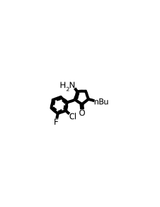 CCCCC1CC(N)=C(c2cccc(F)c2Cl)C1=O